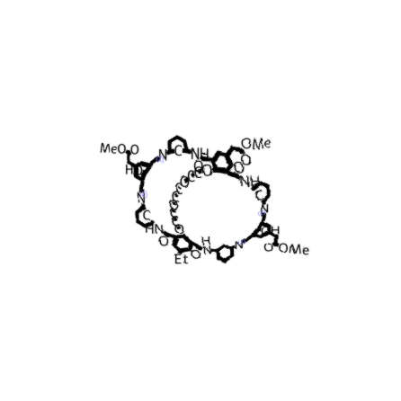 CCc1cc2c3c(c1)C(=O)NC1CCCC(C1)/N=C\c1cc(CC(=O)OC)cc(c1O)/C=N\C1CCCC(C1)NC(=O)c1cc(CC(=O)OC)cc(c1OCCOCCOCCO3)C(=O)NC1CCCC(C1)/N=C\c1cc(CC(=O)OC)cc(c1O)/C=N\C1CCCC(C1)NC2=O